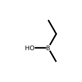 CCB(C)O